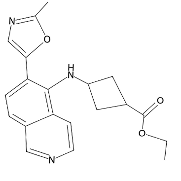 CCOC(=O)C1CC(Nc2c(-c3cnc(C)o3)ccc3cnccc23)C1